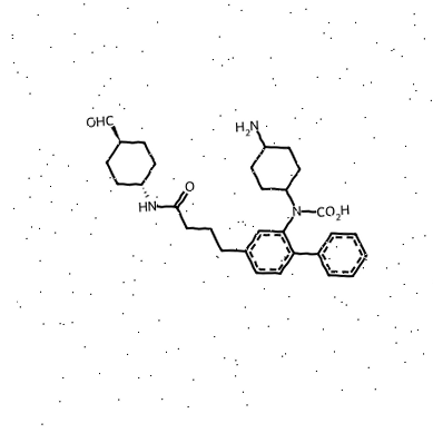 NC1CCC(N(C(=O)O)c2cc(CCCC(=O)N[C@H]3CC[C@H](C=O)CC3)ccc2-c2ccccc2)CC1